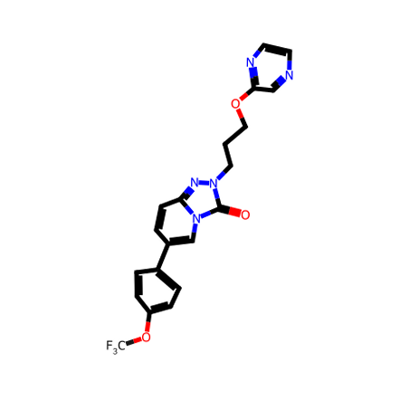 O=c1n(CCCOc2cnccn2)nc2ccc(-c3ccc(OC(F)(F)F)cc3)cn12